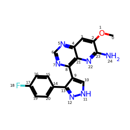 COc1cc2ncnc(-c3c[nH]nc3-c3ccc(F)cc3)c2nc1N